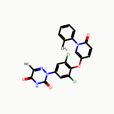 Cc1ccccc1-n1cc(Oc2c(Cl)cc(-n3nc(C#N)c(=O)[nH]c3=O)cc2Cl)ccc1=O